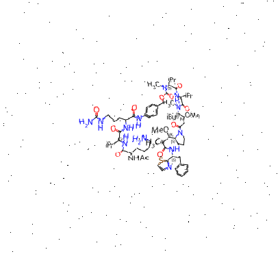 CC[C@H](C)[C@@H]([C@@H](CC(=O)N1CCC[C@H]1[C@H](OC)[C@@H](C)C(=O)N[C@@H](Cc1ccccc1)c1nccs1)OC)N(C)C(=O)[C@@H](NC(=O)[C@H](C(C)C)N(C)C(=O)OCc1ccc(NC(=O)C(CCCNC(N)=O)NC(=O)[C@@H](NC(=O)C(CCCCN)NC(C)=O)C(C)C)cc1)C(C)C